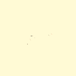 CC(C)(C)[Si](C)(C)OC1=CC=C[C@](C)(CCC[C@@H]2CC[C@H]3C(=O)CCC[C@]23C)C1